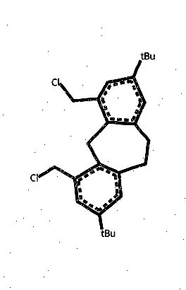 CC(C)(C)c1cc(CCl)c2c(c1)CCc1cc(C(C)(C)C)cc(CCl)c1C2